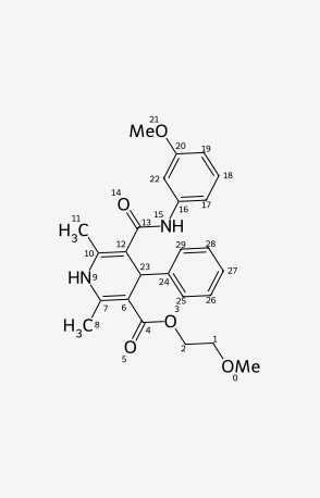 COCCOC(=O)C1=C(C)NC(C)=C(C(=O)Nc2cccc(OC)c2)C1c1ccccc1